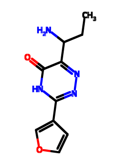 CCC(N)c1nnc(-c2ccoc2)[nH]c1=O